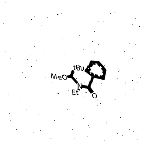 CCN(C(=O)c1ccccc1)C(OC)C(C)(C)C